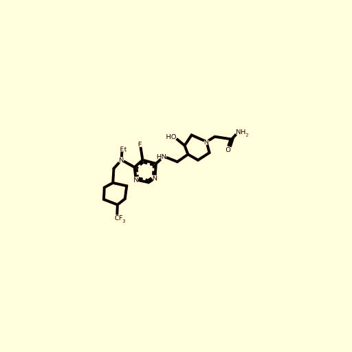 CCN(CC1CCC(C(F)(F)F)CC1)c1ncnc(NCC2CCN(CC(N)=O)CC2O)c1F